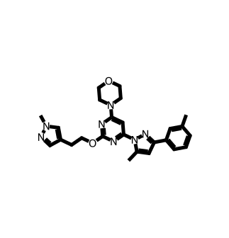 Cc1cccc(-c2cc(C)n(-c3cc(N4CCOCC4)nc(OCCc4cnn(C)c4)n3)n2)c1